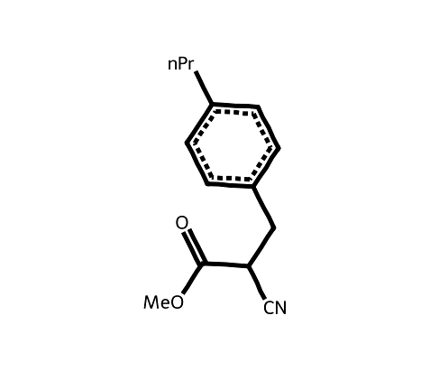 CCCc1ccc(CC(C#N)C(=O)OC)cc1